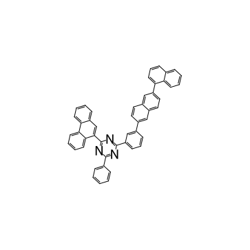 c1ccc(-c2nc(-c3cccc(-c4ccc5cc(-c6cccc7ccccc67)ccc5c4)c3)nc(-c3cc4ccccc4c4ccccc34)n2)cc1